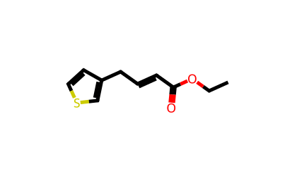 CCOC(=O)/C=C/Cc1ccsc1